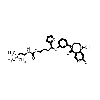 CN1CCN(c2cccc(OC(CCCOC(=O)NCC[Si](C)(C)C)c3cccs3)c2)C(=O)c2cnc(Cl)cc21